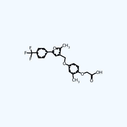 Cc1cc(OCc2cc(-c3ccc(C(F)(F)F)cc3)oc2C)ccc1OCC(=O)O